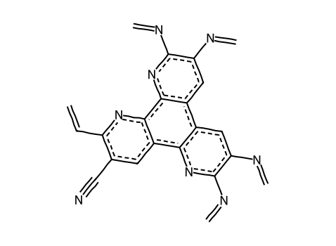 C=Cc1nc2c(cc1C#N)c1nc(N=C)c(N=C)cc1c1cc(N=C)c(N=C)nc12